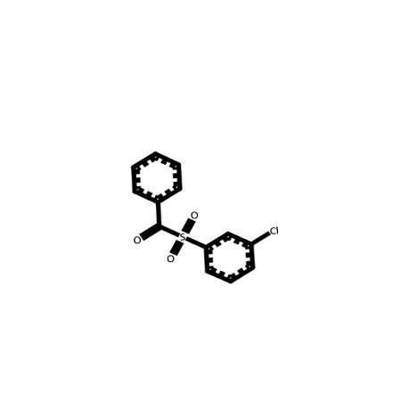 O=C(c1ccccc1)S(=O)(=O)c1cccc(Cl)c1